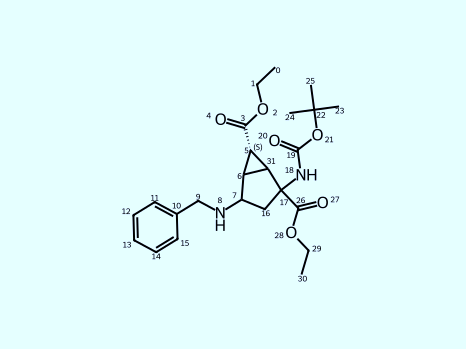 CCOC(=O)[C@H]1C2C(NCc3ccccc3)CC(NC(=O)OC(C)(C)C)(C(=O)OCC)C21